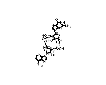 Nc1nc2c(ncn2[C@@H]2O[C@@H]3COP(O)(=S)O[C@H]4[C@@H](O)[C@H](n5cnc6c(N)ncnc65)O[C@@H]4COP(=O)(O)O[C@@H]2[C@@H]3O)c(=O)[nH]1